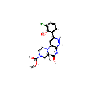 CC(C)(C)OC(=O)N1CCN2c3cc(-c4cccc(F)c4O)nnc3NC(=O)C2(C)C1